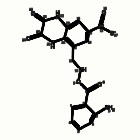 Nc1ccccc1C(=O)ONCc1cc([N+](=O)[O-])cc2[nH]c(=O)c(=O)[nH]c12